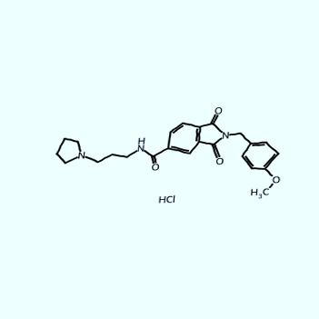 COc1ccc(CN2C(=O)c3ccc(C(=O)NCCCN4CCCC4)cc3C2=O)cc1.Cl